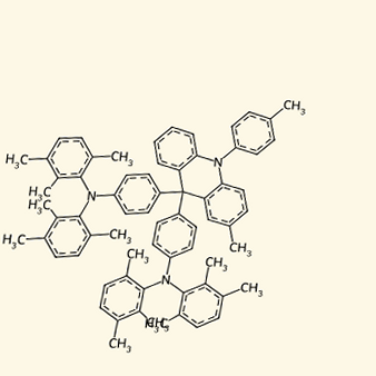 Cc1ccc(N2c3ccccc3C(c3ccc(N(c4c(C)ccc(C)c4C)c4c(C)ccc(C)c4C)cc3)(c3ccc(N(c4c(C)ccc(C)c4C)c4c(C)ccc(C)c4C)cc3)c3cc(C)ccc32)cc1